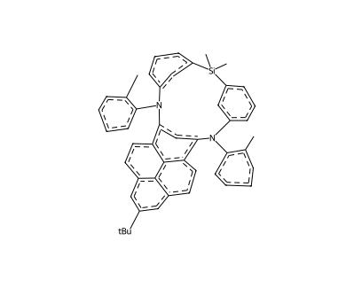 Cc1ccccc1N1c2cccc(c2)[Si](C)(C)c2cccc(c2)N(c2ccccc2C)c2cc1c1ccc3cc(C(C)(C)C)cc4ccc2c1c34